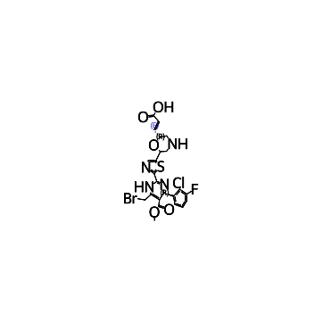 COC(=O)C1=C(CBr)NC(c2ncc(C3CNC[C@@H](/C=C/C(=O)O)O3)s2)=N[C@H]1c1cccc(F)c1Cl